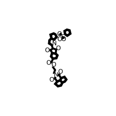 O=C(OCCCN1C(=O)c2cccc3cccc(c23)C1=O)c1ccc2c(c1)C(=O)C(c1ccc3cccc(OS(=O)(=O)c4ccccc4)c3n1)C2=O